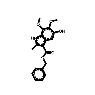 COc1c(O)cc2c(C(=O)OCc3ccccc3)c(C)[nH]c2c1OC